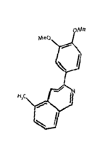 COc1ccc(-c2cc3c(C)cccc3cn2)cc1OC